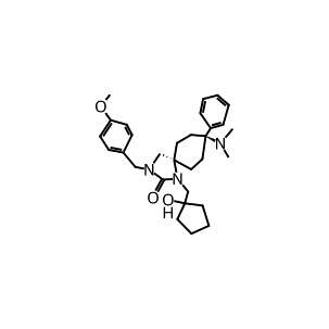 COc1ccc(CN2C[C@]3(CC[C@](c4ccccc4)(N(C)C)CC3)N(CC3(O)CCCC3)C2=O)cc1